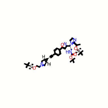 CC(O[Si](C)(C)C(C)(C)C)c1nccn1[C@H](CNC(=O)OC(C)(C)C)c1cc(-c2ccc(C#C[C@@H]3[C@H]4CN(CCO[Si](C)(C)C(C)(C)C)C[C@@H]34)cc2)on1